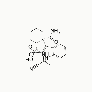 CC1CC[C@@H](C(=O)NC(C)C#N)[C@](C(N)=O)(c2c(C(=O)O)n(C)c3ccccc23)C1